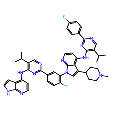 CC(C)c1cnc(-c2ccc(F)c(-n3cc(C4CCN(C)CC4)c4c(Nc5nc(-c6ccc(F)cc6)ncc5C(C)C)ccnc43)c2)nc1Nc1ccnc2[nH]ccc12